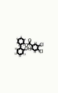 O=C(Oc1ccccc1-c1ccccc1O)c1ccc(Cl)c(Cl)c1